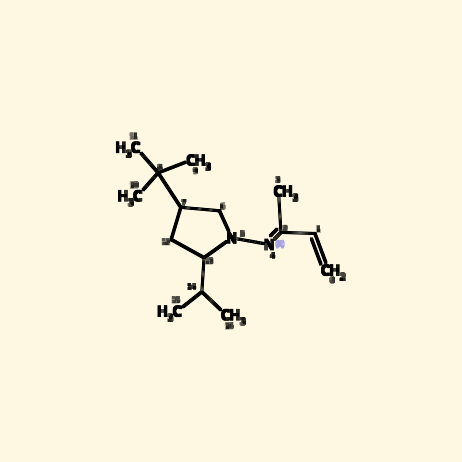 C=C/C(C)=N/N1CC(C(C)(C)C)CC1C(C)C